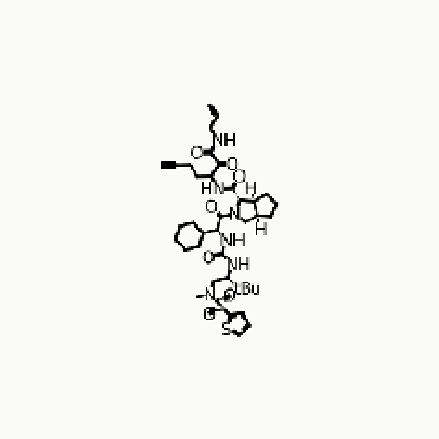 C#CCCC(NC(=O)[C@@H]1[C@H]2CCC[C@H]2CN1C(=O)[C@@H](NC(=O)N[C@H](CN(C)S(=O)(=O)c1cccs1)C(C)(C)C)C1CCCCC1)C(=O)C(=O)NCC=C